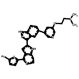 CC(=O)c1ccc(-c2nccc3[nH]c(-c4n[nH]c5ccc(-c6cncc(OCCN(C)C)c6)cc45)cc23)s1